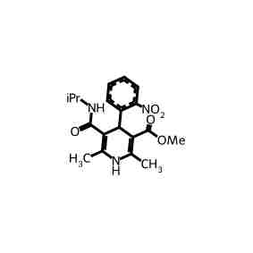 COC(=O)C1=C(C)NC(C)=C(C(=O)NC(C)C)C1c1ccccc1[N+](=O)[O-]